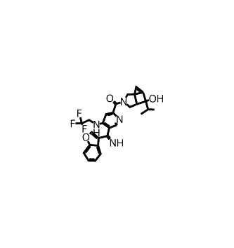 CC(C)C1(O)C2=CC23CN(C(=O)c2cc(NCC(F)(F)F)c(C(=N)c4coc5ccccc45)cn2)CC31